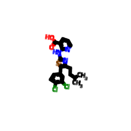 CC(C)CCc1nc(Nc2ncccc2C(=O)O)sc1-c1ccc(Cl)c(Cl)c1